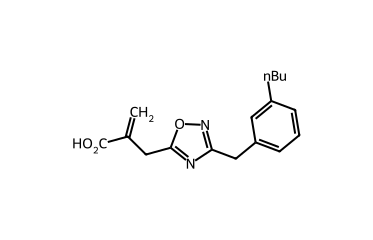 C=C(Cc1nc(Cc2cccc(CCCC)c2)no1)C(=O)O